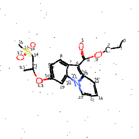 CCCOC(=O)c1c2ccc(OC(C)CS(C)(=O)=O)cc2n2ccccc12